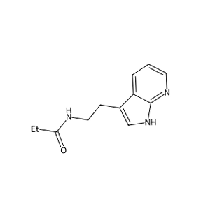 CCC(=O)NCCc1c[nH]c2ncccc12